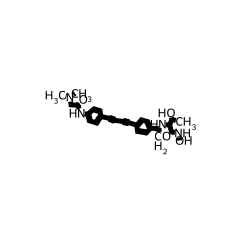 C=C(NC(C(=O)NO)C(C)O)c1ccc(C#CC#Cc2ccc(NC(=O)CN(C)C)cc2)cc1